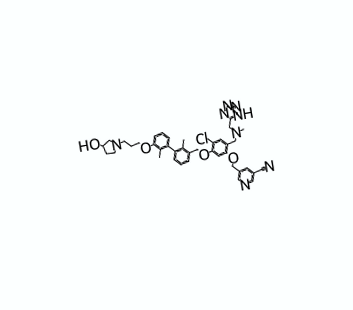 Cc1c(COc2cc(OCc3cncc(C#N)c3)c(CN(C)Cc3nnn[nH]3)cc2Cl)cccc1-c1cccc(OCCCN2CCC(O)C2)c1C